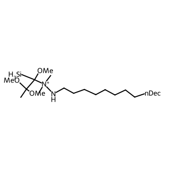 CCCCCCCCCCCCCCCCCCN[N+](C)(C)C([SiH3])(OC)C(C)(OC)OC